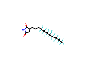 O=C1C=C(CCCC(F)(F)C(F)(F)C(F)(F)C(F)(F)C(F)(F)C(F)(F)C(F)(F)C(F)(F)F)C(=O)N1